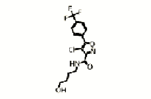 O=C(NCCCCO)c1noc(-c2ccc(C(F)(F)F)cc2)c1Cl